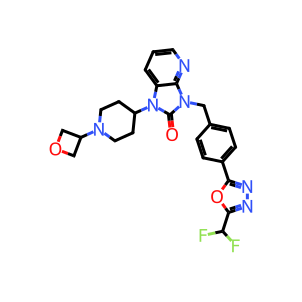 O=c1n(Cc2ccc(-c3nnc(C(F)F)o3)cc2)c2ncccc2n1C1CCN(C2COC2)CC1